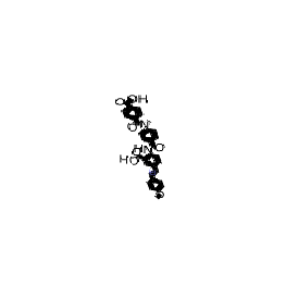 COc1ccc(/C=C/c2ccc(NC(=O)c3ccc(N(C)C(=O)c4ccc(C(=O)O)cc4)cc3)c(C(=O)O)c2)cc1